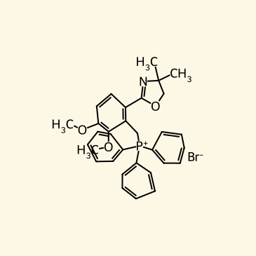 COc1ccc(C2=NC(C)(C)CO2)c(C[P+](c2ccccc2)(c2ccccc2)c2ccccc2)c1OC.[Br-]